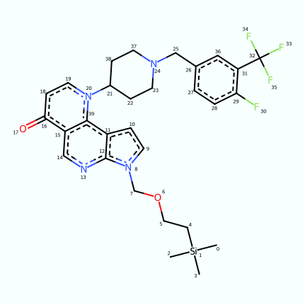 C[Si](C)(C)CCOCn1ccc2c1ncc1c(=O)ccn(C3CCN(Cc4ccc(F)c(C(F)(F)F)c4)CC3)c12